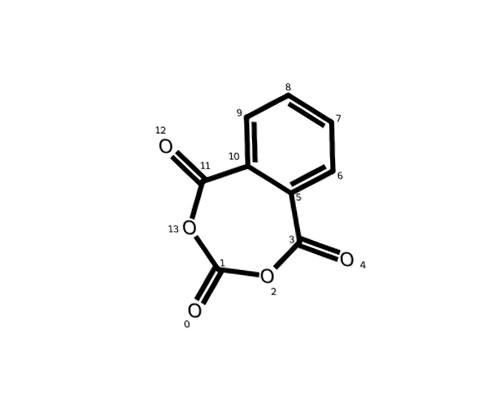 O=c1oc(=O)c2ccccc2c(=O)o1